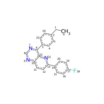 CCc1ccc(-c2ncnc3ccc(-c4ccc(F)cc4)nc23)cc1